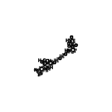 CC1(C)C(=O)SC(C2NCCN2c2ccc(C#N)c(C(F)(F)F)c2)=C1c1ccc(OCCCOCCCOCCNc2cccc3c2C(=O)N(C2CCC(=O)NC2=O)C3=O)cc1